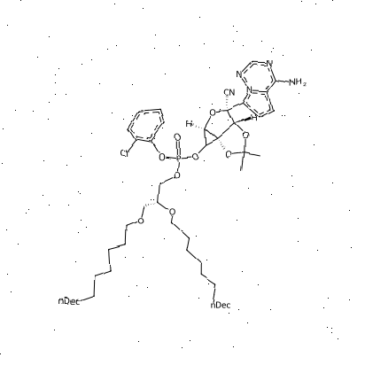 CCCCCCCCCCCCCCCCOC[C@H](COP(=O)(Oc1ccccc1Cl)OC1[C@H]2O[C@@](C#N)(c3ccc4c(N)ncnn34)[C@@H]3OC(C)(C)O[C@]123)OCCCCCCCCCCCCCCCC